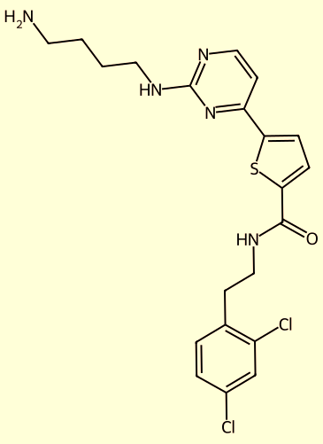 NCCCCNc1nccc(-c2ccc(C(=O)NCCc3ccc(Cl)cc3Cl)s2)n1